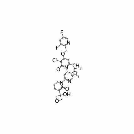 Cc1cnc(-n2cccc(C3(O)COC3)c2=O)cc1-n1c(C)cc(OCc2ncc(F)cc2F)c(Cl)c1=O